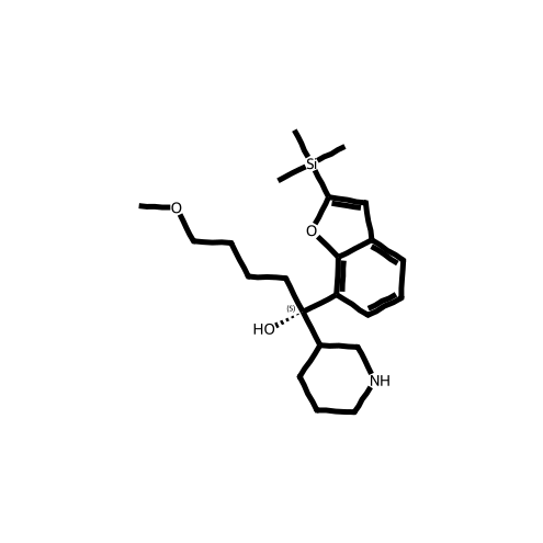 COCCCC[C@@](O)(c1cccc2cc([Si](C)(C)C)oc12)C1CCCNC1